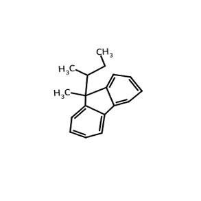 CCC(C)C1(C)c2ccccc2-c2ccccc21